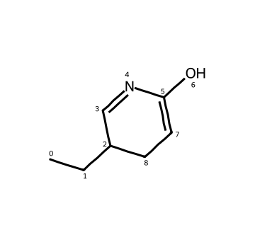 CCC1C=NC(O)=CC1